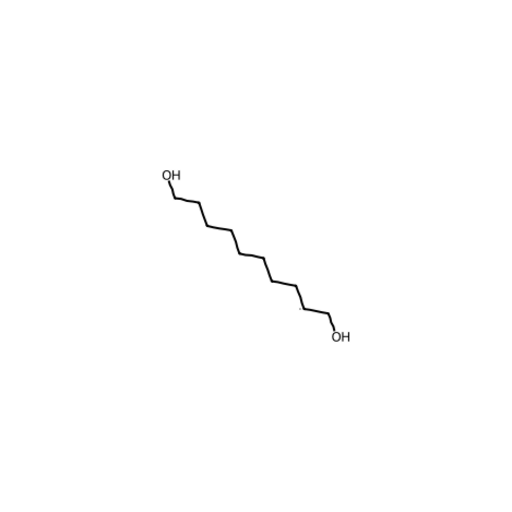 OC[CH]CCCCCCCCO